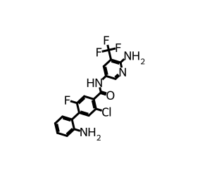 Nc1ccccc1-c1cc(Cl)c(C(=O)Nc2cnc(N)c(C(F)(F)F)c2)cc1F